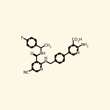 CC(NC(=O)c1cc(C#N)cnc1NCc1ccc(-c2cnc(N)c(C(=O)O)c2)cc1)c1ccc(F)cc1